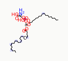 CC/C=C\C/C=C\C/C=C\C/C=C\C/C=C\C/C=C\CCC(=O)OC[C@H](COP(=O)(O)OC[C@H](N)C(=O)O)OC(=O)CCCCCCC/C=C\CCCCCCCC